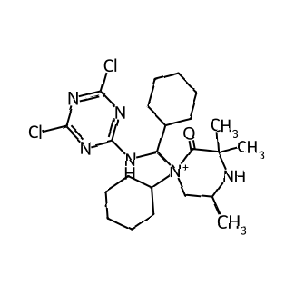 CC1C[N+](C2CCCCC2)(C(Nc2nc(Cl)nc(Cl)n2)C2CCCCC2)C(=O)C(C)(C)N1